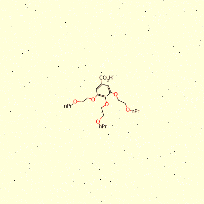 CCCOCCOc1cc(C(=O)O)cc(OCCOCCC)c1OCCOCCC